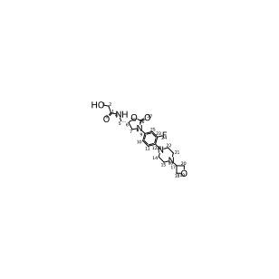 O=C(CO)NC[C@H]1CN(c2ccc(N3CCN(C4COC4)CC3)c(F)c2)C(=O)O1